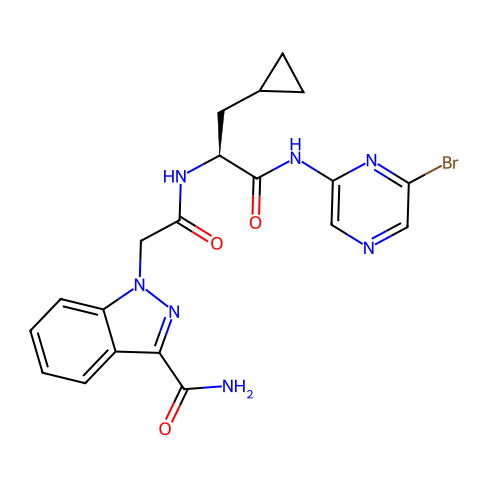 NC(=O)c1nn(CC(=O)N[C@@H](CC2CC2)C(=O)Nc2cncc(Br)n2)c2ccccc12